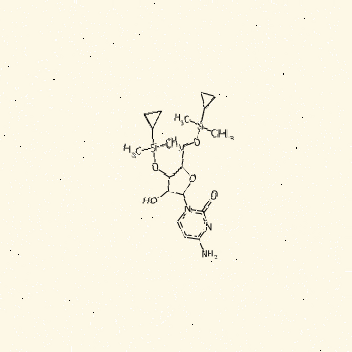 C[Si](C)(OCC1OC(n2ccc(N)nc2=O)C(O)C1O[Si](C)(C)C1CC1)C1CC1